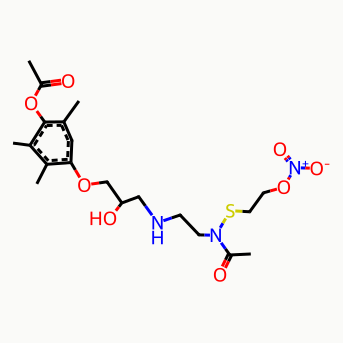 CC(=O)Oc1c(C)cc(OCC(O)CNCCN(SCCO[N+](=O)[O-])C(C)=O)c(C)c1C